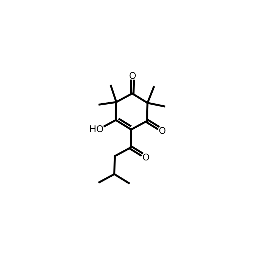 CC(C)CC(=O)C1=C(O)C(C)(C)C(=O)C(C)(C)C1=O